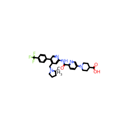 C[C@@H]1CCCN1Cc1cc(NC(=O)c2ccc(N3CCC(C(=O)O)CC3)cn2)ncc1-c1ccc(C(F)(F)F)cc1